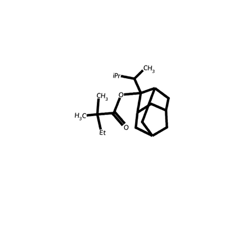 CCC(C)(C)C(=O)OC1(C(C)C(C)C)C2CC3CC(C2)CC1C3